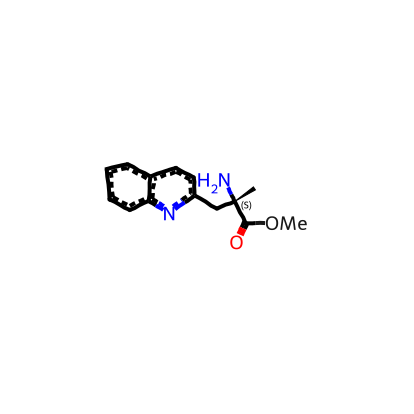 COC(=O)[C@@](C)(N)Cc1ccc2ccccc2n1